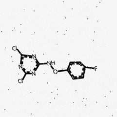 Fc1ccc(ONc2nc(Cl)nc(Cl)n2)cc1